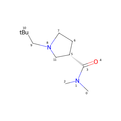 CN(C)C(=O)[C@H]1CCN(CC(C)(C)C)C1